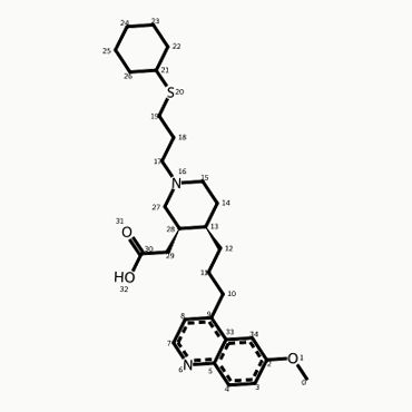 COc1ccc2nccc(CCC[C@@H]3CCN(CCCSC4CCCCC4)C[C@@H]3CC(=O)O)c2c1